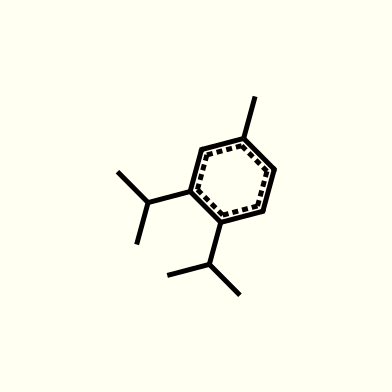 Cc1ccc(C(C)C)c(C(C)C)c1